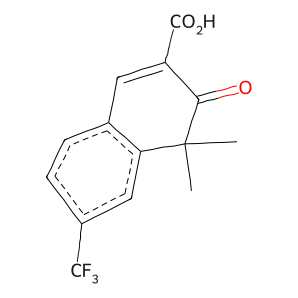 CC1(C)C(=O)C(C(=O)O)=Cc2ccc(C(F)(F)F)cc21